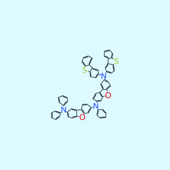 c1ccc(N(c2ccc3c(c2)oc2ccc(N(c4ccccc4)c4ccccc4)cc23)c2ccc3c(c2)oc2ccc(N(c4ccc5sc6ccccc6c5c4)c4ccc5sc6ccccc6c5c4)cc23)cc1